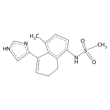 Cc1ccc(NS(C)(=O)=O)c2c1C(c1c[nH]cn1)=CCC2